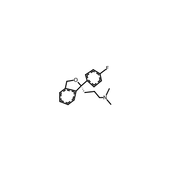 CN(C)CCC[C@@]1(c2ccc(F)cc2)OCc2ccccc21